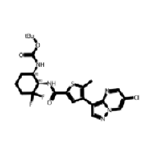 Cc1sc(C(=O)N[C@@H]2[C@H](NC(=O)OC(C)(C)C)CCCC2(F)F)cc1-c1cnn2cc(Cl)cnc12